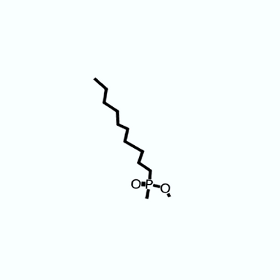 CCCCCCCCCCP(C)(=O)OC